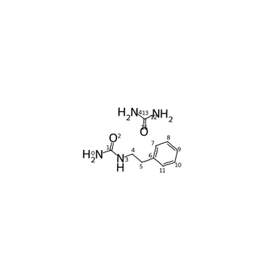 NC(=O)NCCc1ccccc1.NC(N)=O